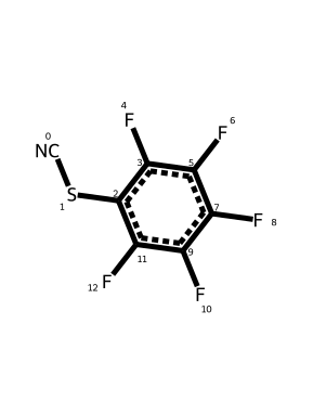 N#CSc1c(F)c(F)c(F)c(F)c1F